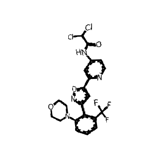 O=C(Nc1ccnc(-c2cc(-c3c(N4CCOCC4)cccc3C(F)(F)F)no2)c1)C(Cl)Cl